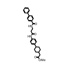 COC(=O)CC1CCC(c2ccc(NC(=O)CCNC(=O)c3ccc(-c4ccccc4)cc3)cc2)CC1